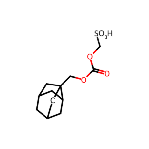 O=C(OCC12CC3CC(CC1C3)C2)OCS(=O)(=O)O